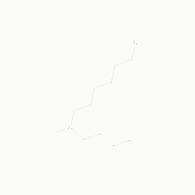 CCCN(CCCCO)CCCCCCN